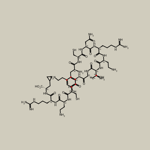 C[C@@H](O)[C@H](NC(=O)[C@H](CCN)NC(=O)[C@H](CCCNC(=N)N)NC(=O)[C@H](CC(N)=O)NC(=O)[C@H](CS)NC(=O)[C@@H](N)Cc1ccc(O)cc1)C(=O)N[C@H](CCN)C(=O)N[C@@H](CCCCN)C(=O)N[C@@H](CS)C(=O)N[C@@H](CCN)C(=O)N[C@@H](CCCNC(=N)N)C(=O)N[C@@H](CC1CC1)C(=O)O